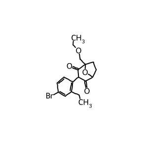 CCOCC12CCC(O1)C(=O)C(c1ccc(Br)cc1CC)C2=O